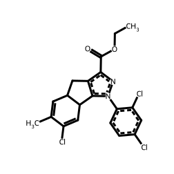 CCOC(=O)c1nn(-c2ccc(Cl)cc2Cl)c2c1CC1C=C(C)C(Cl)=CC21